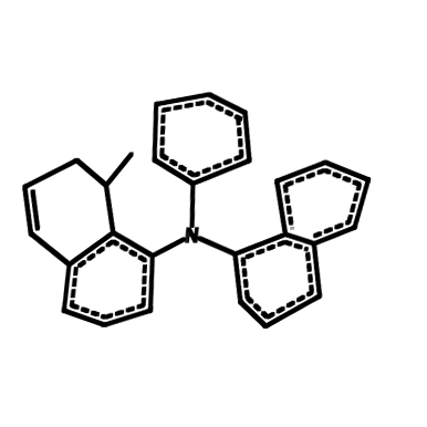 CC1CC=Cc2cccc(N(c3ccccc3)c3cccc4ccccc34)c21